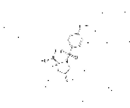 COc1ccc(S(=O)(=O)N2CC(=S)C[C@H]2C(=O)O)cc1